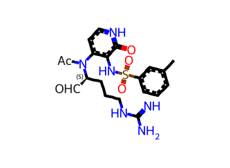 CC(=O)N(c1cc[nH]c(=O)c1NS(=O)(=O)c1cccc(C)c1)[C@H](C=O)CCCNC(=N)N